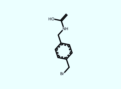 C=C(O)NCc1ccc(CBr)cc1